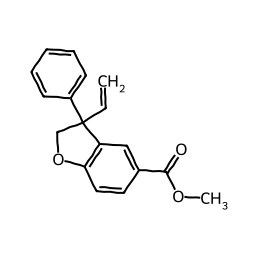 C=CC1(c2ccccc2)COc2ccc(C(=O)OC)cc21